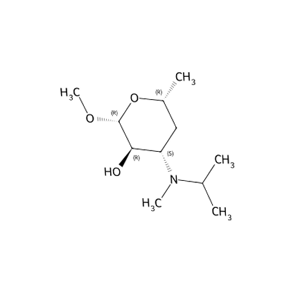 CO[C@@H]1O[C@H](C)C[C@H](N(C)C(C)C)[C@H]1O